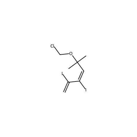 C=C(I)/C(I)=C\C(C)(C)OCCl